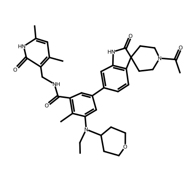 CCN(c1cc(-c2ccc3c(c2)NC(=O)C32CCN(C(C)=O)CC2)cc(C(=O)NCc2c(C)cc(C)[nH]c2=O)c1C)C1CCOCC1